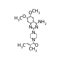 CC=C(C)C(=O)N1CCN(c2nc(N)c3cc(OC)c(OC)cc3n2)CC1